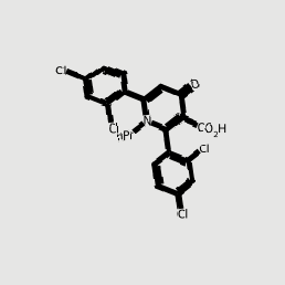 CCCn1c(-c2ccc(Cl)cc2Cl)cc(=O)c(C(=O)O)c1-c1ccc(Cl)cc1Cl